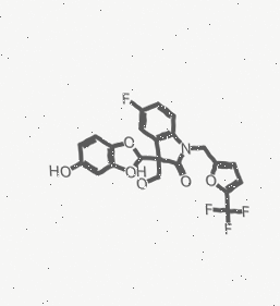 O=C1N(Cc2ccc(C(F)(F)F)o2)c2ccc(F)cc2C1(CO)C1Oc2ccc(O)cc2O1